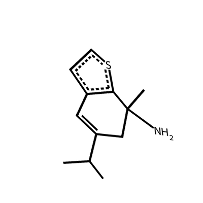 CC(C)C1=Cc2ccsc2C(C)(N)C1